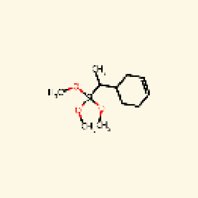 CO[Si](OC)(OC)C(C)C1CC=CCC1